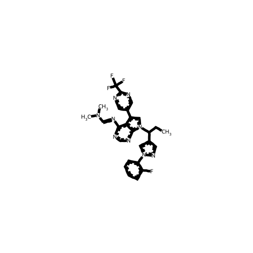 CCC(c1cnn(-c2ccccc2F)c1)n1cc(-c2cnc(C(F)(F)F)nc2)c2c(/N=C/N(C)C)ncnc21